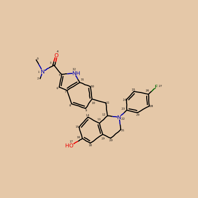 CN(C)C(=O)c1cc2ccc(CC3c4ccc(O)cc4CCN3c3ccc(F)cc3)cc2[nH]1